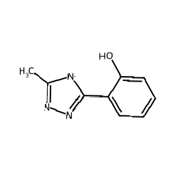 CC1=NN=C(c2ccccc2O)[N]1